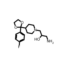 NCC(O)CN1CCC(C2(c3ccc(F)cc3)OCCO2)CC1